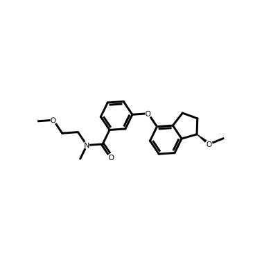 COCCN(C)C(=O)c1cccc(Oc2cccc3c2CC[C@H]3OC)c1